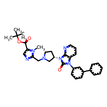 Cn1c(C(=O)OC(C)(C)C)cnc1CN1CC[C@H](n2c(=O)n(-c3cccc(-c4ccccc4)c3)c3cccnc32)C1